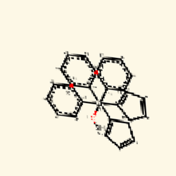 [SiH3][O][Zr]([C]1=CC=CC1)([C]1=CC=CC1)([c]1ccccc1)([c]1ccccc1)[c]1ccccc1